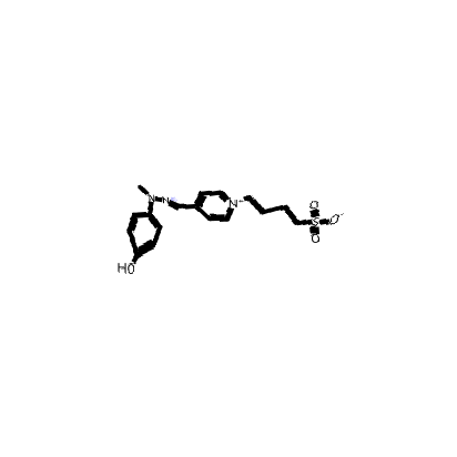 CN(/N=C/c1cc[n+](CCCCS(=O)(=O)[O-])cc1)c1ccc(O)cc1